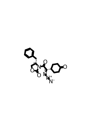 [N-]=[N+]=N[C@H](C(=O)N1C(=O)OC[C@@H]1Cc1ccccc1)C1CCC(=O)CC1